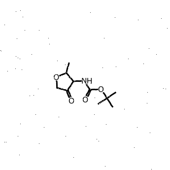 CC1OCC(=O)C1NC(=O)OC(C)(C)C